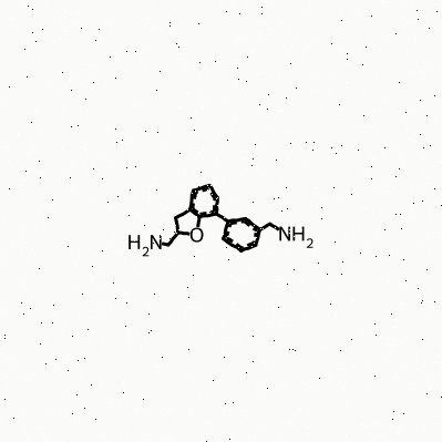 NCc1cccc(-c2cccc3c2OC(CN)C3)c1